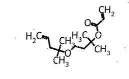 C=CCC(C)(C)OCCC(C)(C)OC(=O)C=C